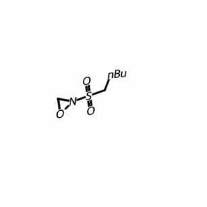 CCCCCS(=O)(=O)N1CO1